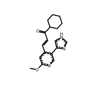 COc1cc(C=CC(=O)C2CCCCC2)c(-c2c[nH]cn2)cn1